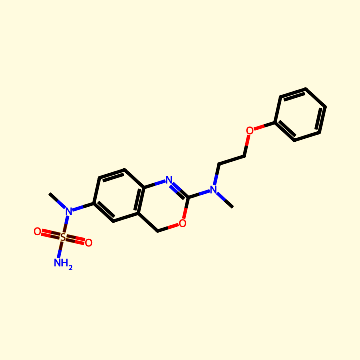 CN(CCOc1ccccc1)C1=Nc2ccc(N(C)S(N)(=O)=O)cc2CO1